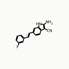 N#Cc1c(N)[nH]c2cc(/C=C/c3cccc(F)c3)ccc12